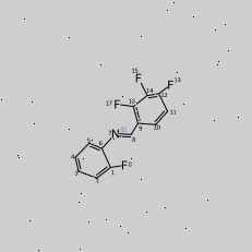 Fc1ccccc1/N=C/c1ccc(F)c(F)c1F